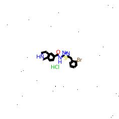 Cl.O=C(Nc1nnc(Cc2ccccc2Br)s1)c1ccc2c(c1)CCNC2